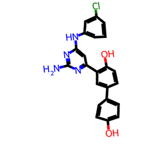 Nc1nc(Nc2cccc(Cl)c2)cc(-c2cc(-c3ccc(O)cc3)ccc2O)n1